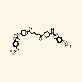 O=C(CCCCC(=O)N1CCC(Nc2nc3ccc(OC(F)(F)F)cc3s2)CC1)N1CCC(Nc2nc3ccc(OC(F)(F)F)cc3s2)CC1